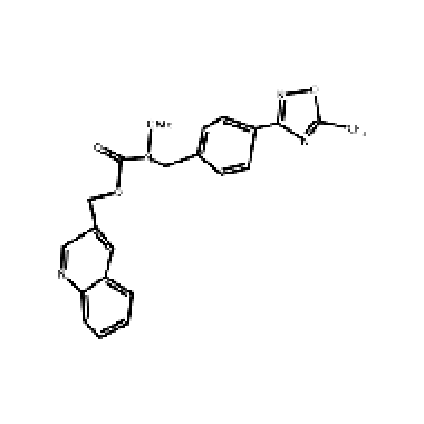 CON(Cc1ccc(-c2noc(C(F)(F)F)n2)cc1)C(=O)OCc1cnc2ccccc2c1